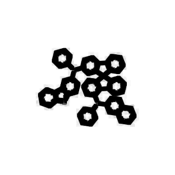 c1ccc(N(c2ccc3c(c2)C2(c4ccccc4-3)c3ccccc3-c3c(N(c4ccccc4)c4ccc5ccccc5c4)cccc32)c2ccc3oc4ccccc4c3c2)cc1